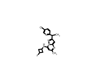 Cc1cc(NC2CC(F)C2)n2nc(C(C)c3ccc(Cl)cn3)cc2n1